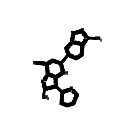 Cn1nnc2cc(-c3cc(=O)n4nc(N)c(-c5ccccn5)c4[nH]3)ccc21